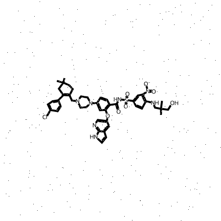 CC(C)(CO)CNc1ccc(S(=O)(=O)NC(=O)c2ccc(N3CCN(CC4=C(c5ccc(Cl)cc5)CC(C)(C)CC4)CC3)cc2Oc2cnc3[nH]ccc3c2)cc1[N+](=O)[O-]